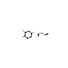 C=CCC(=O)Oc1ccc(F)c(Cl)c1